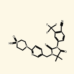 CC1(C)C(=O)N(c2ccc(C#N)c(C(F)(F)F)c2)C(=S)N1Cc1ccc(N2CCS(=N)(=O)CC2)nc1